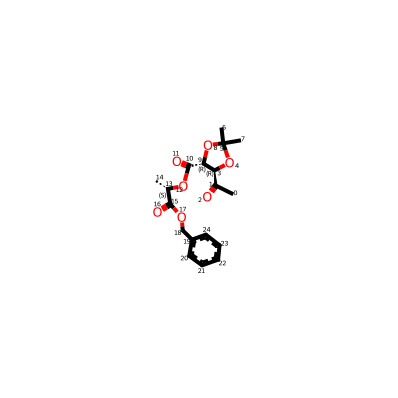 CC(=O)[C@@H]1OC(C)(C)O[C@H]1C(=O)O[C@@H](C)C(=O)OCc1ccccc1